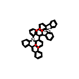 c1cc(-c2ccc3c(c2)sc2ccccc23)cc(N(c2ccccc2-c2ccc3ccccc3c2)c2ccccc2-c2cccc3sc4ccccc4c23)c1